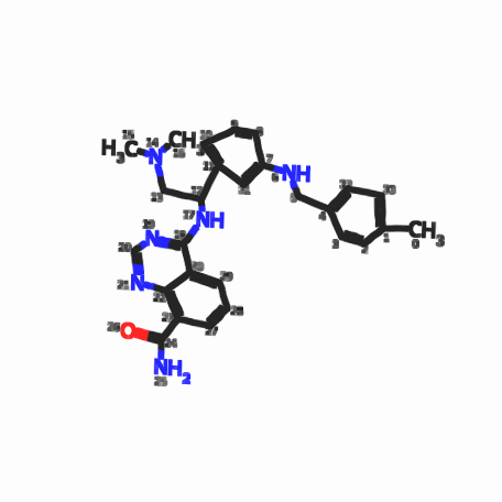 Cc1ccc(CNc2cccc(C(CN(C)C)Nc3ncnc4c(C(N)=O)cccc34)c2)cc1